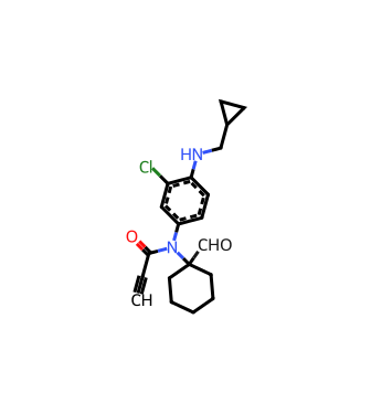 C#CC(=O)N(c1ccc(NCC2CC2)c(Cl)c1)C1(C=O)CCCCC1